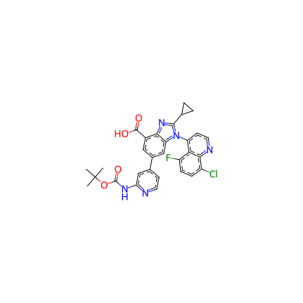 CC(C)(C)OC(=O)Nc1cc(-c2cc(C(=O)O)c3nc(C4CC4)n(-c4ccnc5c(Cl)ccc(F)c45)c3c2)ccn1